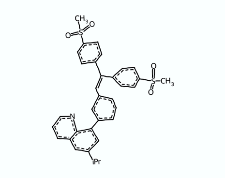 CC(C)c1cc(-c2cccc(C=C(c3ccc(S(C)(=O)=O)cc3)c3ccc(S(C)(=O)=O)cc3)c2)c2ncccc2c1